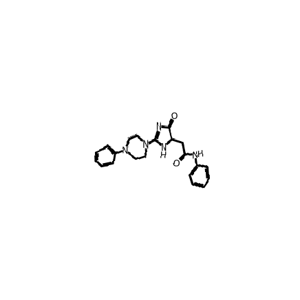 O=C(CC1NC(N2CCN(c3ccccc3)CC2)=NC1=O)Nc1ccccc1